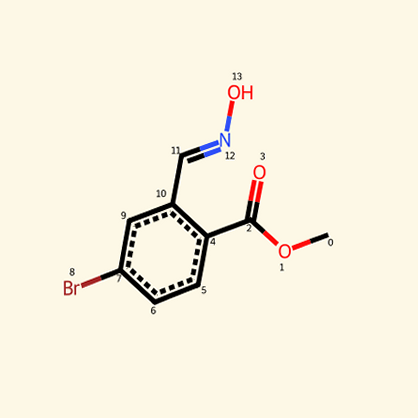 COC(=O)c1ccc(Br)cc1C=NO